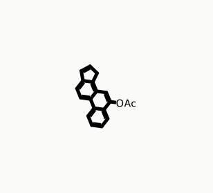 CC(=O)Oc1cc2c3c(ccc2c2ccccc12)C=CC3